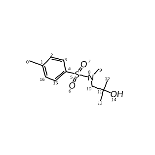 Cc1ccc(S(=O)(=O)N(C)CC(C)(C)O)cc1